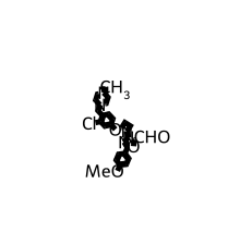 COc1ccc(C2=NN(N3CCC3Oc3ccc(CN4CCN(C)CC4)c(Cl)c3)C(C=O)O2)cc1